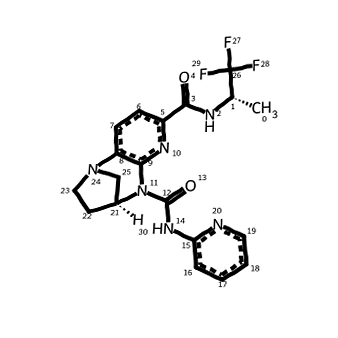 C[C@H](NC(=O)c1ccc2c(n1)N(C(=O)Nc1ccccn1)[C@H]1CCN2C1)C(F)(F)F